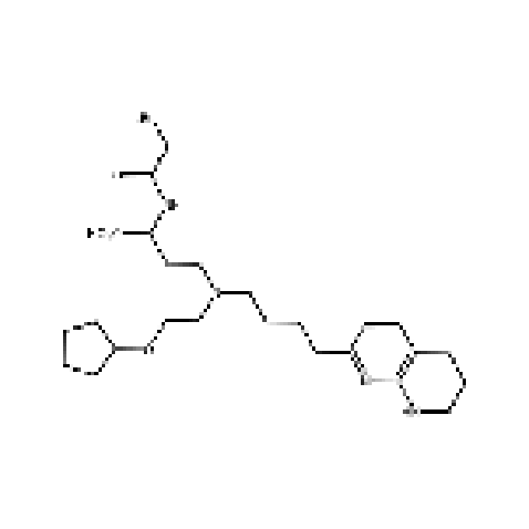 CC(C)(C)CC(=O)NC(CCN(CCCCc1ccc2c(n1)NCCC2)CCOC1CCCC1)C(=O)O